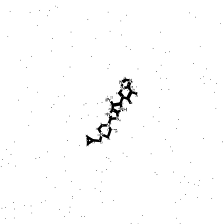 Cc1c(-c2[nH]c3sc(N4CCN(CC5CC5)C[C@H]4C)nc3c2C(C)C)cn2ncnc2c1C